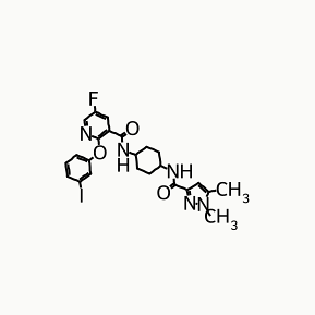 Cc1cc(C(=O)NC2CCC(NC(=O)c3cc(F)cnc3Oc3cccc(I)c3)CC2)nn1C